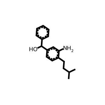 CC(C)CCc1ccc(C(O)c2ccccc2)cc1N